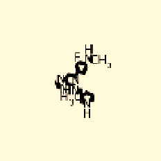 CNc1ccc(-c2cc3nccnc3c(NCC3(C)CCCNC3)n2)cc1F